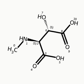 CN[C@H](C(=O)O)[C@H](O)C(=O)O